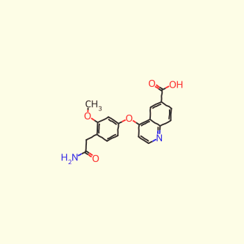 COc1cc(Oc2ccnc3ccc(C(=O)O)cc23)ccc1CC(N)=O